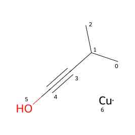 CC(C)C#CO.[Cu]